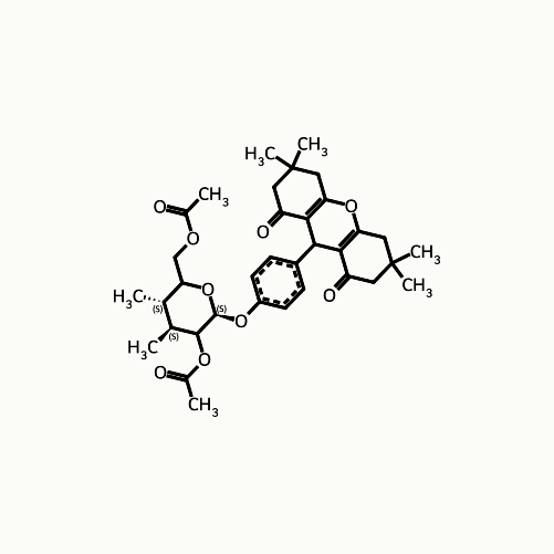 CC(=O)OCC1O[C@@H](Oc2ccc(C3C4=C(CC(C)(C)CC4=O)OC4=C3C(=O)CC(C)(C)C4)cc2)C(OC(C)=O)[C@@H](C)[C@@H]1C